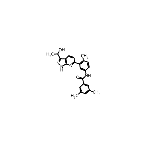 Cc1cc(C)cc(C(=O)Nc2ccc(C)c(-c3ccc4c(C(C)O)n[nH]c4n3)c2)c1